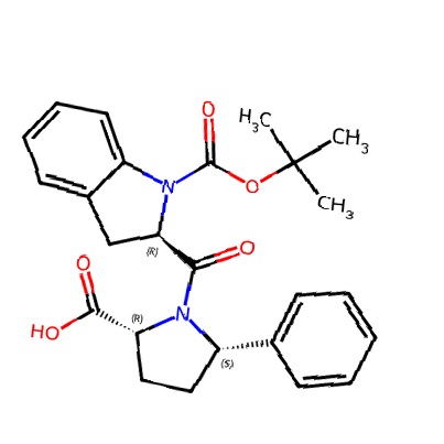 CC(C)(C)OC(=O)N1c2ccccc2C[C@@H]1C(=O)N1[C@@H](C(=O)O)CC[C@H]1c1ccccc1